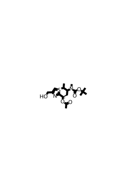 CC(=O)O[C@H](CC(C(C)C)N(C)C(=O)OC(C)(C)C)c1nc(CO)cs1